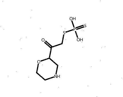 O=C(CSP(O)(O)=S)C1CNCCO1